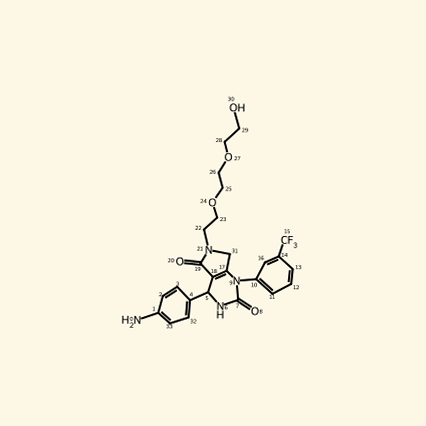 Nc1ccc(C2NC(=O)N(c3cccc(C(F)(F)F)c3)C3=C2C(=O)N(CCOCCOCCO)C3)cc1